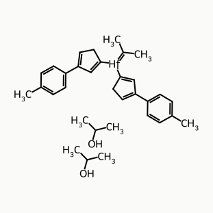 CC(C)O.CC(C)O.C[C](C)=[Hf]([C]1=CC(c2ccc(C)cc2)=CC1)[C]1=CC(c2ccc(C)cc2)=CC1